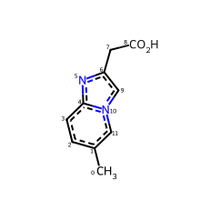 Cc1ccc2nc(CC(=O)O)cn2c1